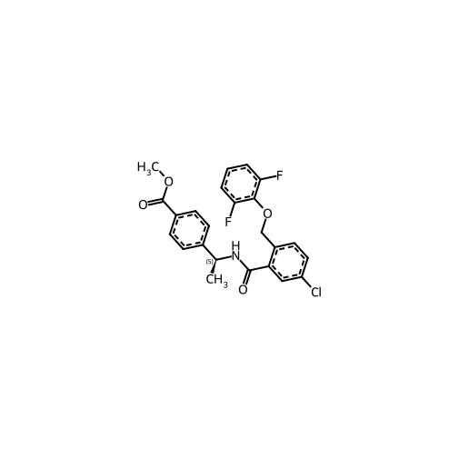 COC(=O)c1ccc([C@H](C)NC(=O)c2cc(Cl)ccc2COc2c(F)cccc2F)cc1